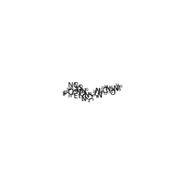 CCc1nc2ccc(-c3cnc(C4CCN(CC(=O)N5CCC5)CC4)nc3)cn2c1N(C)c1nc(-c2ccc(F)cc2)c(C#N)s1